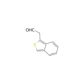 O=CCc1scc2ccccc12